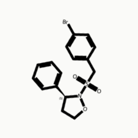 O=S(=O)(Cc1ccc(Br)cc1)N1OCC[C@H]1c1ccccc1